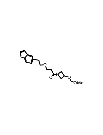 COCOC1CN(C(=O)CCOCCc2ccc3sccc3c2)C1